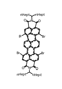 CCCCCCCC(CCCCCCC)N1C(=O)c2cc(Br)c3c4ccc5c6c(Br)cc7c8c(cc(Br)c(c9ccc(c%10c(Br)cc(c2c3%10)C1=O)c4c59)c86)C(=O)N(C(CCCCCCC)CCCCCCC)C7=O